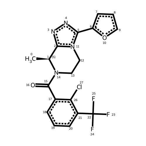 C[C@H]1c2nnc(-c3ccco3)n2CCN1C(=O)c1cccc(C(F)(F)F)c1Cl